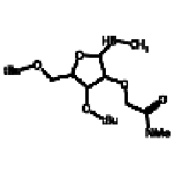 CBC1OC(COC(C)(C)C)C(OC(C)(C)C)C1OCC(=O)NC